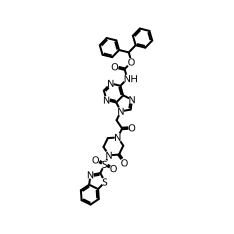 O=C(Nc1ncnc2c1ncn2CC(=O)N1CCN(S(=O)(=O)c2nc3ccccc3s2)C(=O)C1)OC(c1ccccc1)c1ccccc1